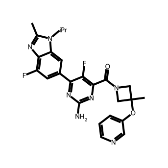 Cc1nc2c(F)cc(-c3nc(N)nc(C(=O)N4CC(C)(Oc5cccnc5)C4)c3F)cc2n1C(C)C